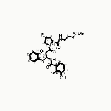 COCCCNC(=O)[C@@H]1C[C@H](F)CN1C(=O)[C@@H](O)[C@H](Cc1ccccc1)NC(=O)c1cccc(O)c1C